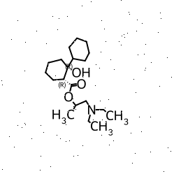 CCN(CC)CC(C)OC(=O)[C@@H]1CCCC[C@@]1(O)C1CCCCC1